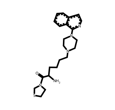 NC(CCCCN1CCN(c2nccc3ccccc23)CC1)C(=O)N1CCSC1